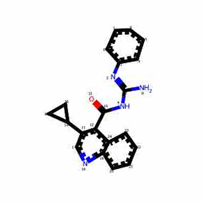 NC(=Nc1ccccc1)NC(=O)c1c(C2CC2)cnc2ccccc12